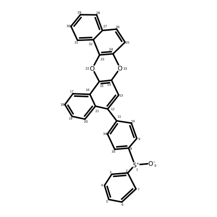 [O-][S+](c1ccccc1)c1ccc(-c2cc3c(c4ccccc24)Oc2c(ccc4ccccc24)O3)cc1